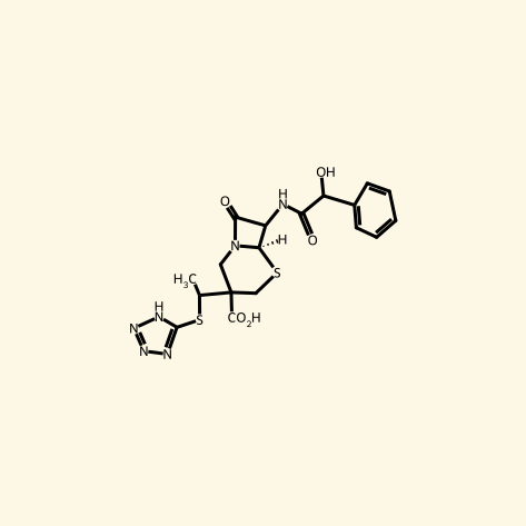 CC(Sc1nnn[nH]1)C1(C(=O)O)CS[C@@H]2C(NC(=O)C(O)c3ccccc3)C(=O)N2C1